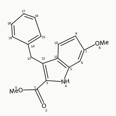 COC(=O)c1[nH]c2cc(OC)ccc2c1Cc1ccccc1